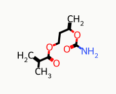 C=C(CCOC(=O)C(=C)C)OC(N)=O